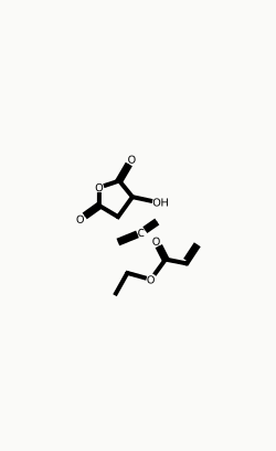 C=C=C.C=CC(=O)OCC.O=C1CC(O)C(=O)O1